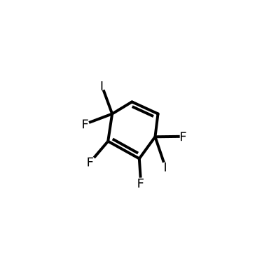 FC1=C(F)C(F)(I)C=CC1(F)I